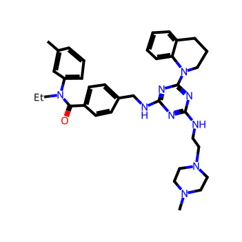 CCN(C(=O)c1ccc(CNc2nc(NCCN3CCN(C)CC3)nc(N3CCCc4ccccc43)n2)cc1)c1cccc(C)c1